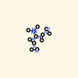 c1ccc(-c2nc(-c3ccccc3)nc(-c3cc(-n4c5ccccc5c5cc(-n6c7ccccc7c7ncccc76)ccc54)cc(-n4c5ccccc5c5cc(-n6c7ccccc7c7ncccc76)ccc54)c3)n2)cc1